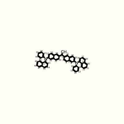 C=C(c1ccc2cc(N(c3ccccc3)c3cccc4ccccc34)ccc2c1)c1ccc2cc(N(c3ccccc3)c3cccc4ccccc34)ccc2c1